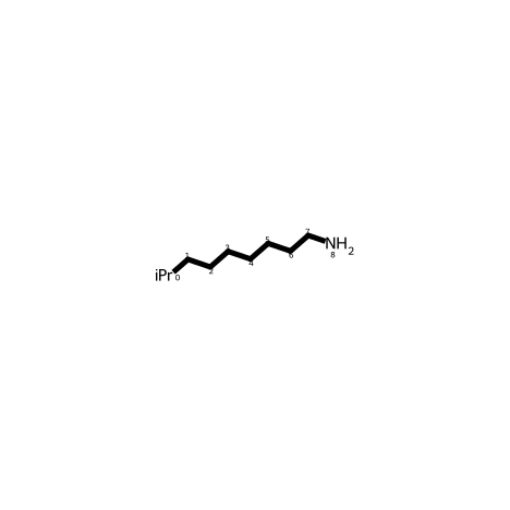 CC(C)CCCCCCCN